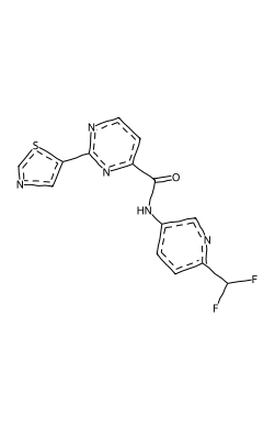 O=C(Nc1ccc(C(F)F)nc1)c1ccnc(-c2cncs2)n1